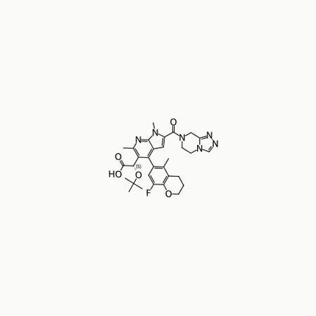 Cc1nc2c(cc(C(=O)N3CCn4cnnc4C3)n2C)c(-c2cc(F)c3c(c2C)CCCO3)c1[C@H](OC(C)(C)C)C(=O)O